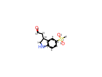 CS(=O)(=O)c1ccc2c(c1)C(CC=O)CN2